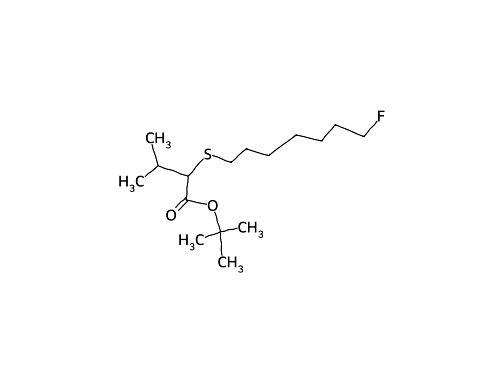 CC(C)C(SCCCCCCCF)C(=O)OC(C)(C)C